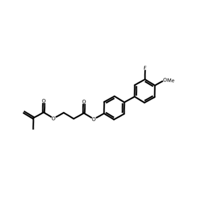 C=C(C)C(=O)OCCC(=O)Oc1ccc(-c2ccc(OC)c(F)c2)cc1